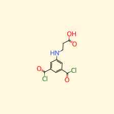 O=C(O)CCNc1cc(C(=O)Cl)cc(C(=O)Cl)c1